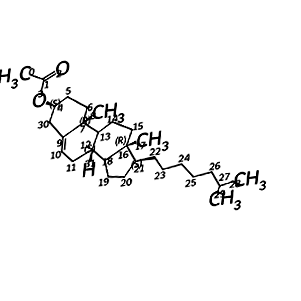 CC(=O)O[C@H]1CC[C@@]2(C)C(=CC[C@@H]3C2CC[C@@]2(C)C3CC[C@@H]2CCCCCC(C)C)C1